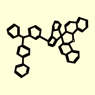 C1=CC2C(Oc3c(ccc4ccccc34)C23c2ccccc2-c2c(-c4cccc(N(c5ccccc5)c5ccc(-c6ccccc6)cc5)c4)cccc23)c2ccccc21